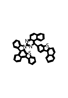 c1ccc2c(c1)ccc1nc(-n3c4ccccc4c4c5ccccc5c5c6ccccc6sc5c43)nc(-c3ccc4c(c3)sc3ccc5ccccc5c34)c12